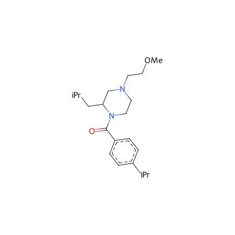 COCCN1CCN(C(=O)c2ccc(C(C)C)cc2)C(CC(C)C)C1